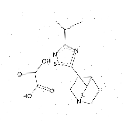 CC(C)c1nsc(C2CN3CCC2CC3)n1.O=C(O)C(=O)O